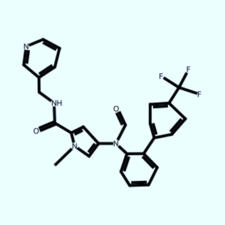 Cn1cc(N(C=O)c2ccccc2-c2ccc(C(F)(F)F)cc2)cc1C(=O)NCc1cccnc1